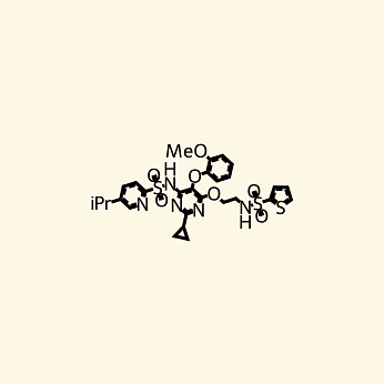 COc1ccccc1Oc1c(NS(=O)(=O)c2ccc(C(C)C)cn2)nc(C2CC2)nc1OCCNS(=O)(=O)c1cccs1